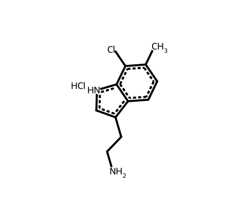 Cc1ccc2c(CCN)c[nH]c2c1Cl.Cl